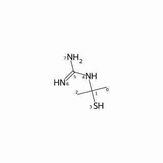 CC(C)(S)NC(=N)N